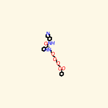 O=C(OCCOCCOCCOCCNC[C@@H](C(=O)Nc1ccc2cnccc2c1)c1ccccc1)c1ccccc1